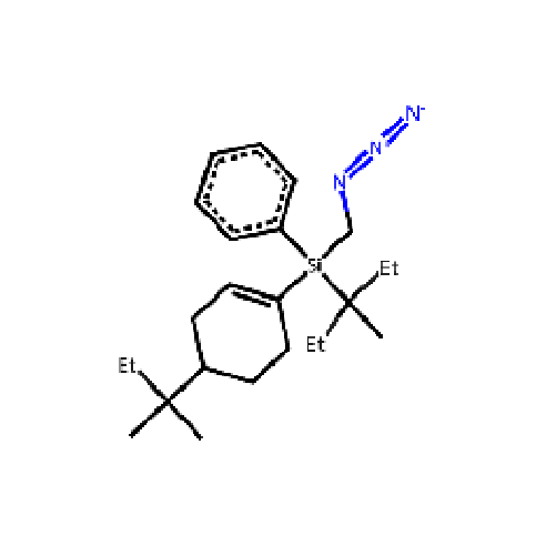 CCC(C)(C)C1CC=C([Si](CN=[N+]=[N-])(c2ccccc2)C(C)(CC)CC)CC1